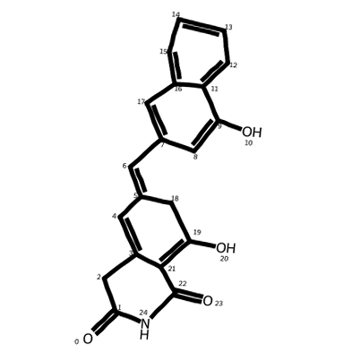 O=C1CC2=CC(=Cc3cc(O)c4ccccc4c3)CC(O)=C2C(=O)N1